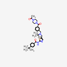 CC(=O)N1CCN(C(=O)c2cccc(CN(Cc3cnc(NC(=O)c4ccc(C(C)(C)C)cc4)s3)C(C)(C)C)c2)CC1